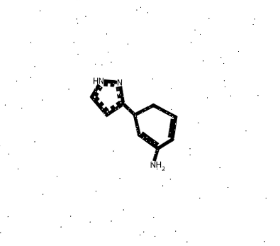 NC1=CC(c2cc[nH]n2)CC=C1